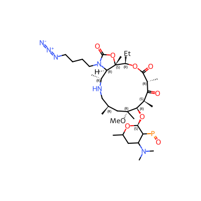 CC[C@H]1OC(=O)[C@H](C)C(=O)[C@@H](C)[C@@H](O[C@@H]2OC(C)CC(N(C)C)C2P=O)[C@](C)(OC)C[C@@H](C)CN[C@H](C)[C@H]2N(CCCCN=[N+]=[N-])C(=O)O[C@]12C